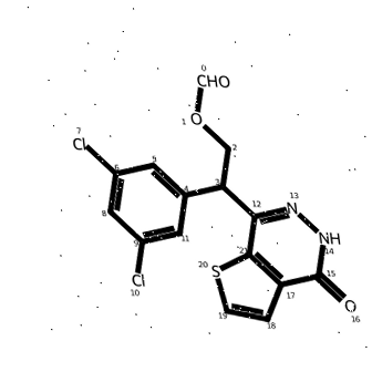 O=COCC(c1cc(Cl)cc(Cl)c1)c1n[nH]c(=O)c2ccsc12